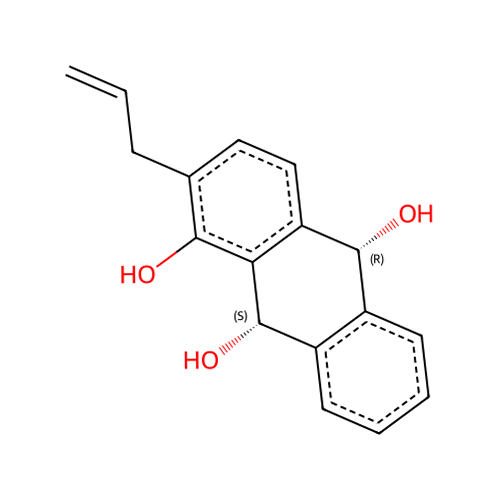 C=CCc1ccc2c(c1O)[C@@H](O)c1ccccc1[C@H]2O